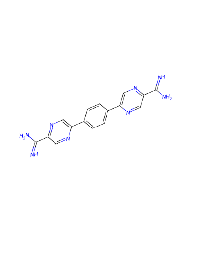 N=C(N)c1cnc(-c2ccc(-c3cnc(C(=N)N)cn3)cc2)cn1